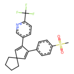 CS(=O)(=O)c1ccc(C2=CC3(C=C2c2ccc(C(F)(F)F)nc2)CCCC3)cc1